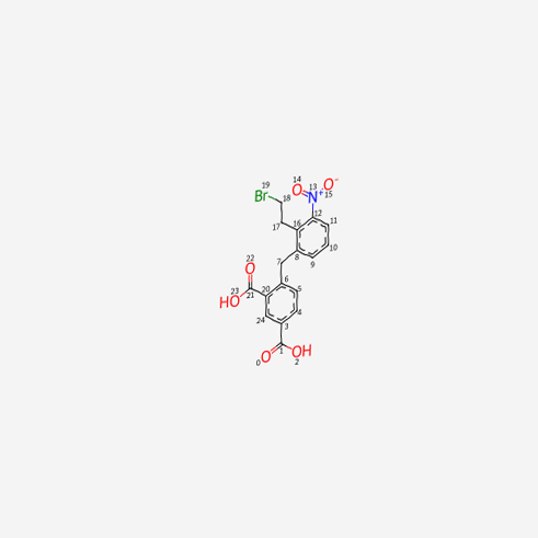 O=C(O)c1ccc(Cc2cccc([N+](=O)[O-])c2CCBr)c(C(=O)O)c1